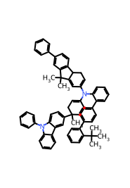 CC(C)(C)c1ccccc1-c1ccc(-c2ccccc2N(C2=CCC3C(=C2)C(C)(C)c2cc(-c4ccccc4)ccc23)C2=CCC(C)(c3ccc4c(c3)c3ccccc3n4-c3ccccc3)C=C2)cc1